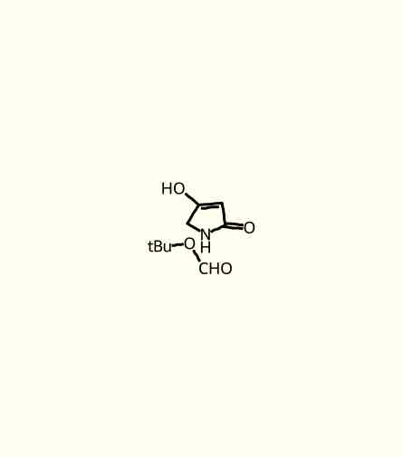 CC(C)(C)OC=O.O=C1C=C(O)CN1